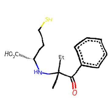 CCC(C)(N[C@@H](CCS)C(=O)O)C(=O)c1ccccc1